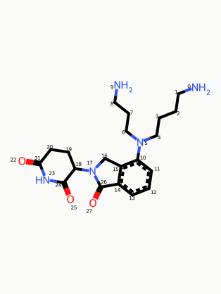 NCCCCN(CCCN)c1cccc2c1CN(C1CCC(=O)NC1=O)C2=O